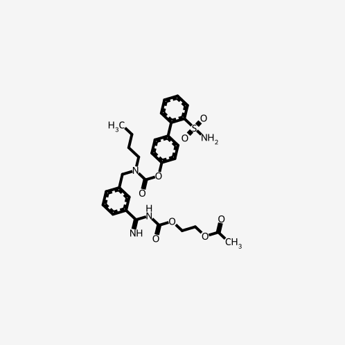 CCCCN(Cc1cccc(C(=N)NC(=O)OCCOC(C)=O)c1)C(=O)Oc1ccc(-c2ccccc2S(N)(=O)=O)cc1